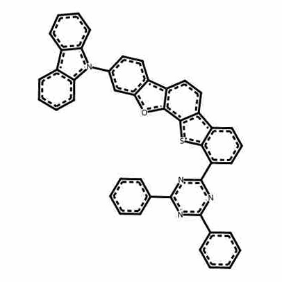 c1ccc(-c2nc(-c3ccccc3)nc(-c3cccc4c3sc3c4ccc4c5ccc(-n6c7ccccc7c7ccccc76)cc5oc43)n2)cc1